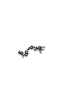 O=C(c1ccc2occc2c1)N1CCOC2(CCN(CCOc3ccc(CNCC(O)c4ccc(O)c5[nH]c(=O)sc45)cc3)CC2)C1